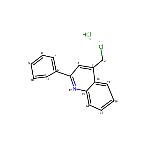 Cl.ClCc1cc(-c2ccccc2)nc2ccccc12